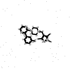 Cc1nn(C)c(C)c1CN1CCN(c2nccnc2-c2cccc(F)c2)CC1